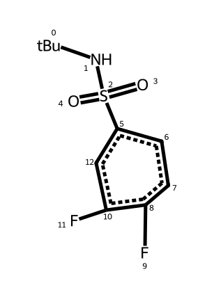 CC(C)(C)NS(=O)(=O)c1ccc(F)c(F)c1